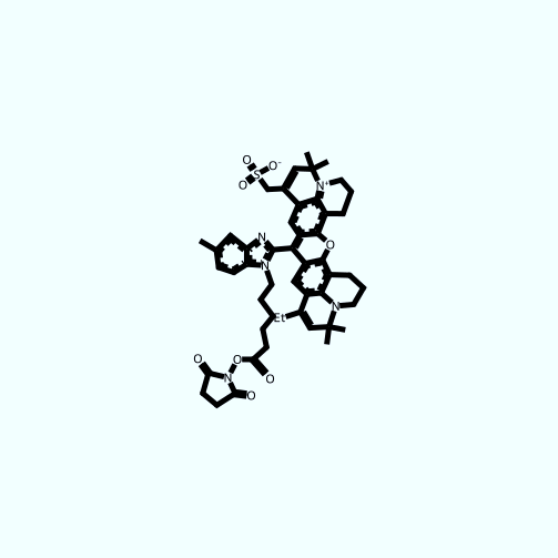 CCC1=CC(C)(C)N2CCCc3c4c(cc1c32)C(c1nc2cc(C)ccc2n1CCCCCC(=O)ON1C(=O)CCC1=O)=c1cc2c3c(c1O4)CCC[N+]=3C(C)(C)C=C2CS(=O)(=O)[O-]